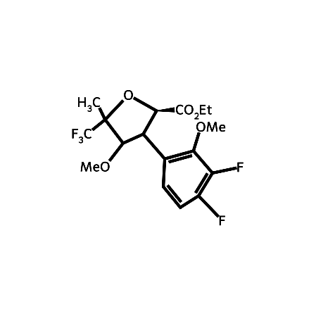 CCOC(=O)[C@@H]1OC(C)(C(F)(F)F)C(OC)C1c1ccc(F)c(F)c1OC